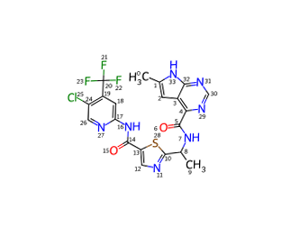 Cc1cc2c(C(=O)NC(C)c3ncc(C(=O)Nc4cc(C(F)(F)F)c(Cl)cn4)s3)ncnc2[nH]1